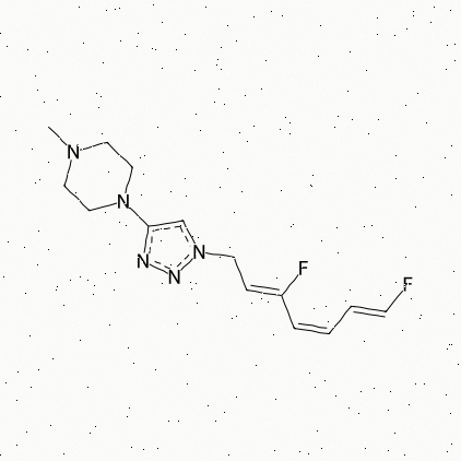 CN1CCN(c2cn(C/C=C(F)/C=C\C=C\F)nn2)CC1